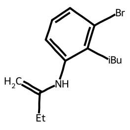 C=C(CC)Nc1cccc(Br)c1C(C)CC